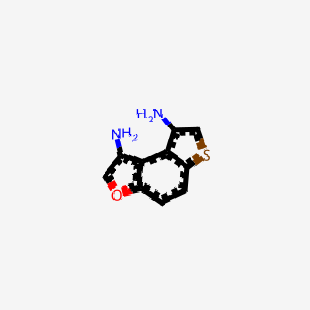 Nc1coc2ccc3scc(N)c3c12